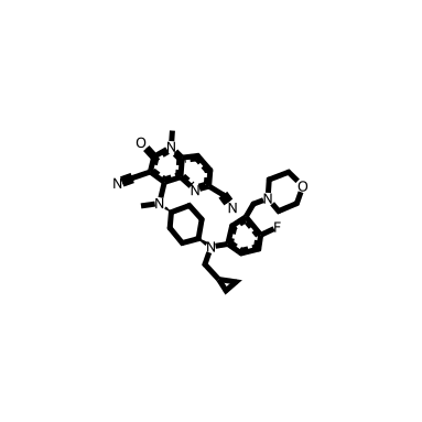 Cn1c(=O)c(C#N)c(N(C)[C@H]2CC[C@H](N(CC3CC3)c3ccc(F)c(CN4CCOCC4)c3)CC2)c2nc(C#N)ccc21